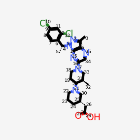 Cc1nn([C@H](C)c2ccc(Cl)cc2Cl)c2nc(N3CCC(N4CCC[C@@H](CC(=O)O)C4)[C@H](C)C3)cnc12